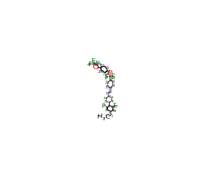 CCc1cc(F)c(C2CCC(/C=C/C3CCC(C(F)(F)Oc4ccc(OC(F)(F)F)cc4)CC3)CC2)c(F)c1